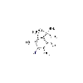 Bc1c(B)c(C(B)(B)B)c(B)c(B)c1I